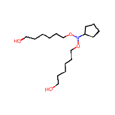 OCCCCCCON(OCCCCCCO)C1CCCC1